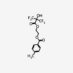 Cc1ccc(C(=O)OCCOC(=O)C(O)(C(F)(F)F)C(F)(F)F)cc1